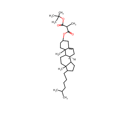 CC(C)CCCCC1CCC2[C@@H]3CC=C4CC(OC(=O)C(C)C(=O)OC(C)(C)C)CCC4(C)C3CCC12C